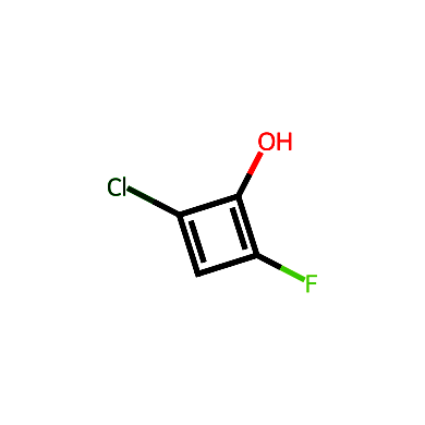 OC1=C(F)C=C1Cl